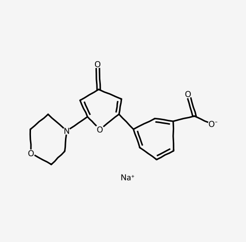 O=C([O-])c1cccc(-c2cc(=O)cc(N3CCOCC3)o2)c1.[Na+]